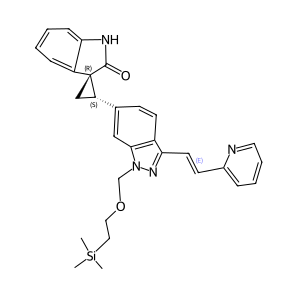 C[Si](C)(C)CCOCn1nc(/C=C/c2ccccn2)c2ccc([C@@H]3C[C@@]34C(=O)Nc3ccccc34)cc21